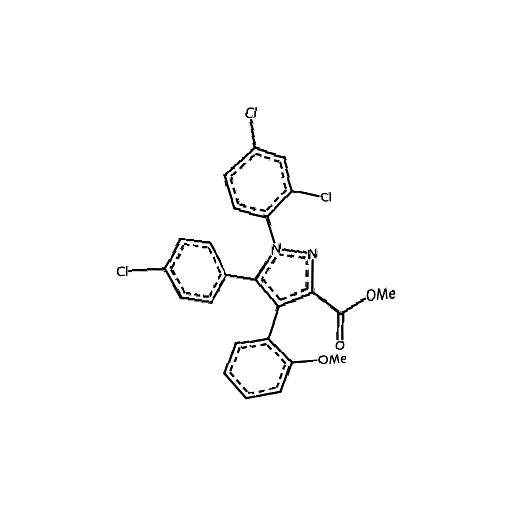 COC(=O)c1nn(-c2ccc(Cl)cc2Cl)c(-c2ccc(Cl)cc2)c1-c1ccccc1OC